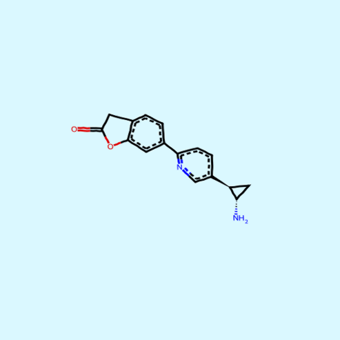 N[C@H]1C[C@@H]1c1ccc(-c2ccc3c(c2)OC(=O)C3)nc1